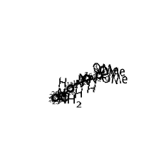 COc1cc(Nc2ccnc(NCc3ccc(C(=O)Nc4ccccc4N)cc3)n2)cc(OC)c1OC